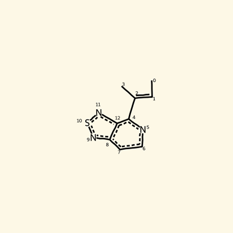 C/C=C(\C)c1nccc2nsnc12